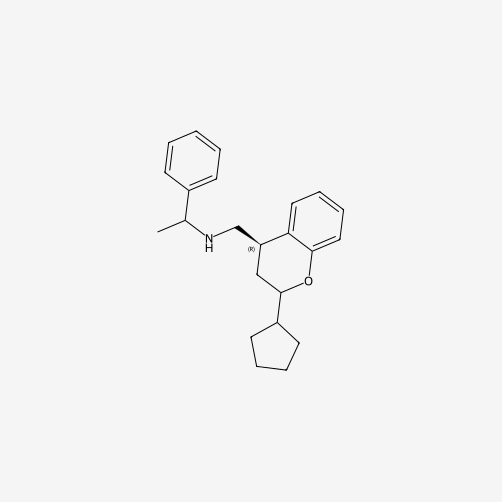 CC(NC[C@@H]1CC(C2CCCC2)Oc2ccccc21)c1ccccc1